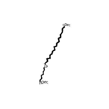 CCCCCCCCCCCCCCCCCCCCCCCCCCC[CH]OCCCCCCCCCCCCCCCCC